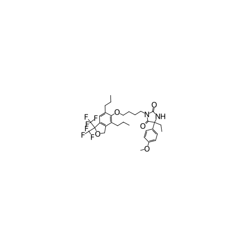 CCCc1cc2c(c(CCC)c1OCCCCN1C(=O)NC(CC)(c3ccc(OC)cc3)C1=O)COC2(C(F)(F)F)C(F)(F)F